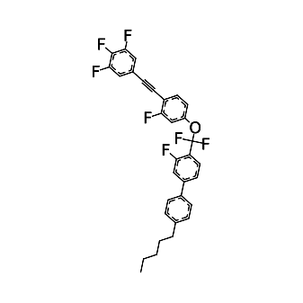 CCCCCc1ccc(-c2ccc(C(F)(F)Oc3ccc(C#Cc4cc(F)c(F)c(F)c4)c(F)c3)c(F)c2)cc1